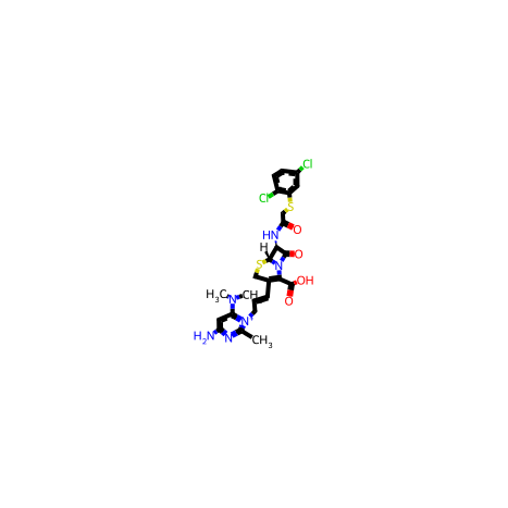 Cc1nc(N)cc(N(C)C)[n+]1CC=CC1=C(C(=O)O)N2C(=O)[C@@H](NC(=O)CSc3cc(Cl)ccc3Cl)[C@H]2SC1